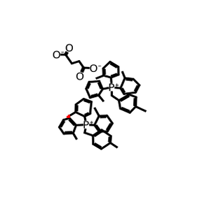 Cc1ccc(C[P+](c2ccccc2C)(c2ccccc2C)c2ccccc2C)cc1.Cc1ccc(C[P+](c2ccccc2C)(c2ccccc2C)c2ccccc2C)cc1.O=C([O-])CCC(=O)[O-]